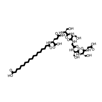 O=C(O)CCCCCCCCCCCCCCCCC(=O)N[C@@H](CCC(=O)NN[C@@H](CO)C(=O)N[C@@H](CO)C(=O)NCC(=O)N[C@@H](CO)C(=O)N[C@@H](CO)C(=O)NCC(=O)O)C(=O)O